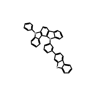 c1ccc(-n2c3ccccc3c3c2ccc2c4ccccc4n(-c4cccc(-c5ccc6c(c5)sc5ccccc56)c4)c23)cc1